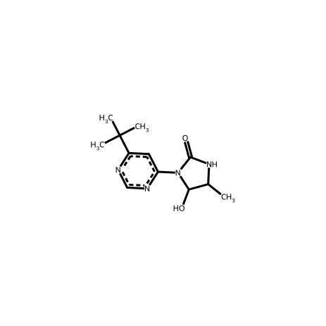 CC1NC(=O)N(c2cc(C(C)(C)C)ncn2)C1O